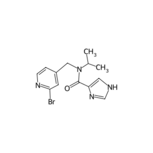 CC(C)N(Cc1ccnc(Br)c1)C(=O)c1c[nH]cn1